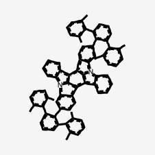 Cc1cccc(C)c1-c1cccc(-c2c(C)cccc2C)c1-c1ccc2c3c4c5ccccc5n5c6cc(-c7c(-c8c(C)cccc8C)cccc7-c7c(C)cccc7C)ccc6c(c6c7ccccc7n(c2c1)c63)c45